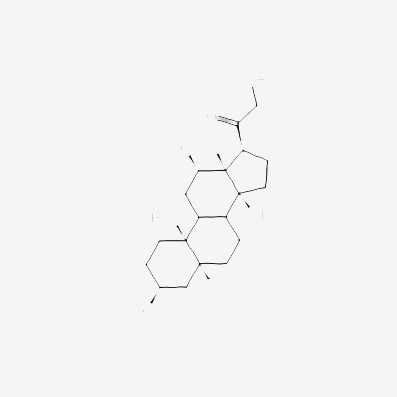 C[C@H]1CC[C@]2(C)C3C[C@@H](C)[C@]4(C)[C@@H](C(=O)CO)CC[C@]4(O)C3CC[C@@H]2C1